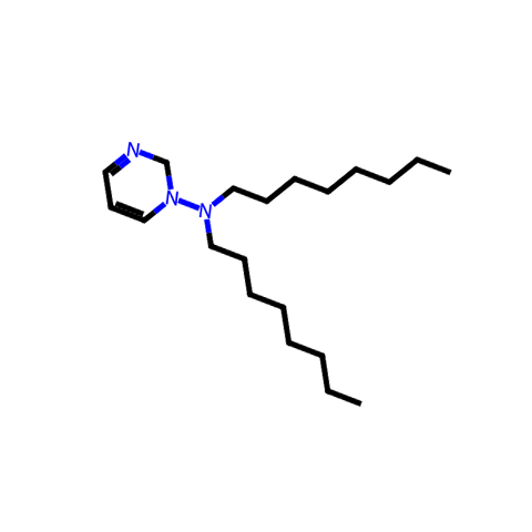 CCCCCCCCN(CCCCCCCC)N1C=CC=NC1